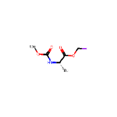 CCC(C)[C@H](NC(=O)OC(C)(C)C)C(=O)OCI